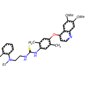 CCN(CCNC(=S)Nc1cc(C)c(Oc2ccnc3cc(OC)c(OC)cc23)cc1C)c1ccccc1C